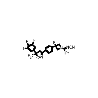 CC(C)C(=NC#N)N1CC(F)(c2ccc(C3=NOC(c4cc(F)c(F)c(F)c4)(C(F)(F)F)C3)cc2)C1